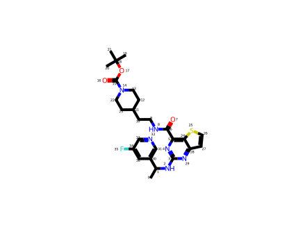 CC(Nc1nc(C(=O)NCCC2CCN(C(=O)OC(C)(C)C)CC2)c2sccc2n1)c1cncc(F)c1